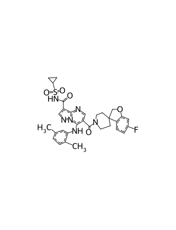 Cc1ccc(C)c(Nc2c(C(=O)N3CCC4(CC3)COc3cc(F)ccc34)cnc3c(C(=O)NS(=O)(=O)C4CC4)cnn23)c1